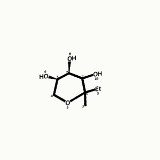 CCC1(C)OC[C@@H](O)[C@@H](O)C1O